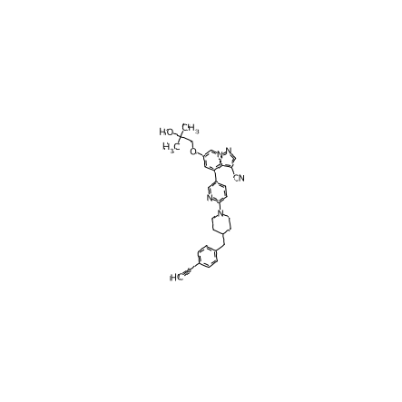 C#Cc1ccc(CC2CCN(c3ccc(-c4cc(OCC(C)(C)O)cn5ncc(C#N)c45)cn3)CC2)cc1